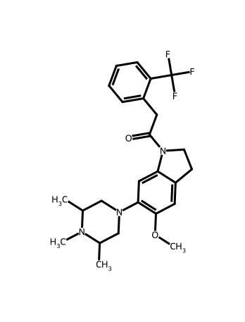 COc1cc2c(cc1N1CC(C)N(C)C(C)C1)N(C(=O)Cc1ccccc1C(F)(F)F)CC2